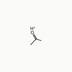 CC(C)=O.[H+]